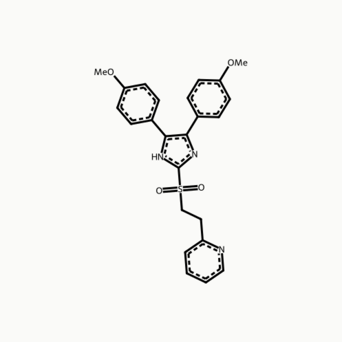 COc1ccc(-c2nc(S(=O)(=O)CCc3ccccn3)[nH]c2-c2ccc(OC)cc2)cc1